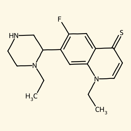 CCN1CCNCC1c1cc2c(cc1F)c(=S)ccn2CC